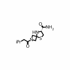 CC(C)CC(=O)N1CC2(C1)N[C@H](C(N)=O)CS2